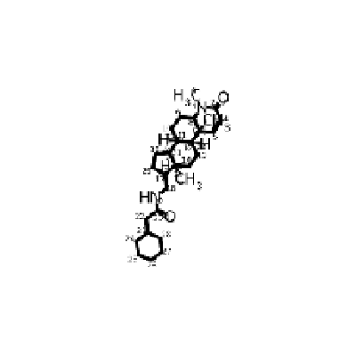 CN1C(=O)C=C[C@@]2(C)C1CC[C@@H]1[C@H]2CC[C@]2(C)C(CNC(=O)CC3CCCCC3)CC[C@@H]12